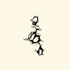 O=C(N[C@H]1CN2CCC1CC2)c1n[nH]c2cc(-c3ccoc3)ccc12